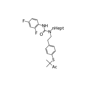 CCCCCCCN(CCc1ccc(SC(C)(C)C(C)=O)cc1)C(=O)Nc1ccc(F)cc1F